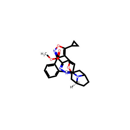 COC(=O)c1ccc(N2C3CC[C@H]2CC(OCc2c(-c4ccccc4C)noc2C2CC2)C3)nn1